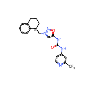 O=C([N-]c1c[n+](C[C@@H]2CCCc3ccccc32)no1)Nc1ccnc(C(F)(F)F)c1